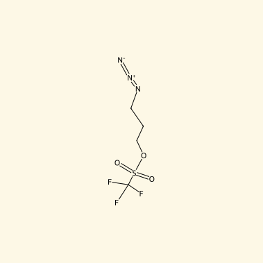 [N-]=[N+]=NCCCOS(=O)(=O)C(F)(F)F